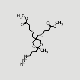 COC(=O)CCSCC1(CSCCC(=O)OC)COC(C)(CCCN=[N+]=[N-])OC1